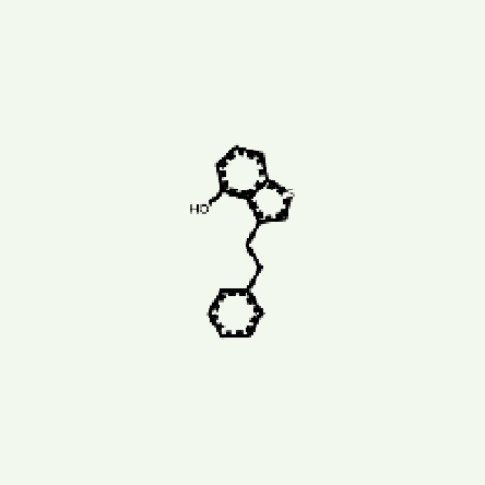 Oc1cccc2scc(CCc3ccccc3)c12